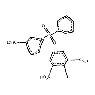 Cc1c(C(=O)O)cccc1C(=O)O.O=Cc1ccn(S(=O)(=O)c2ccccc2)c1